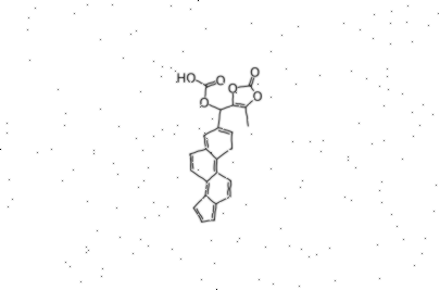 Cc1oc(=O)oc1C(OC(=O)O)C1=CCc2c(ccc3c4c(ccc23)=CC=C4)=C1